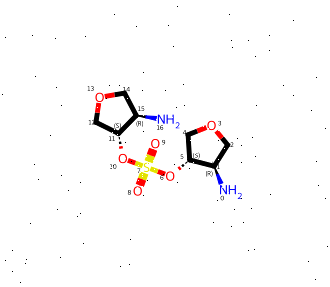 N[C@@H]1COC[C@H]1OS(=O)(=O)O[C@@H]1COC[C@H]1N